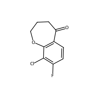 O=C1CCCOc2c1ccc(F)c2Cl